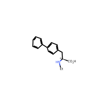 CCN[C@@H](Cc1ccc(-c2ccccc2)cc1)C(=O)O